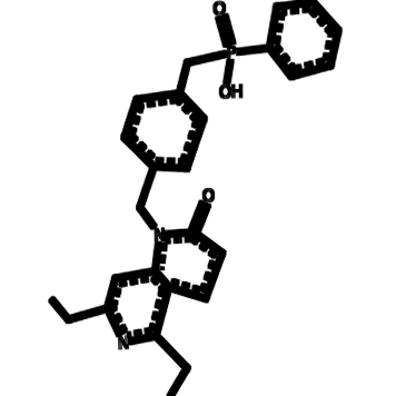 CCc1cc2c(ccc(=O)n2Cc2ccc(CP(=O)(O)c3ccccc3)cc2)c(CC)n1